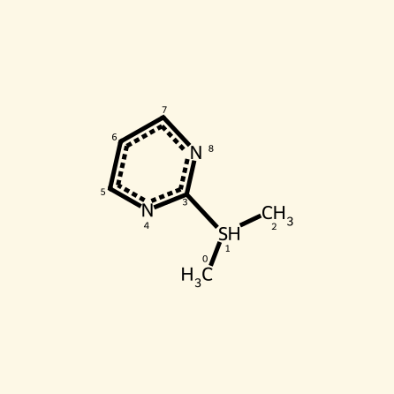 C[SH](C)c1ncccn1